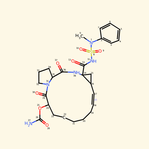 CN(c1ccccc1)S(=O)(=O)NC(=O)C12CC1/C=C\CCCCCC(OC(N)=O)C(=O)N1CCCC1C(=O)N2